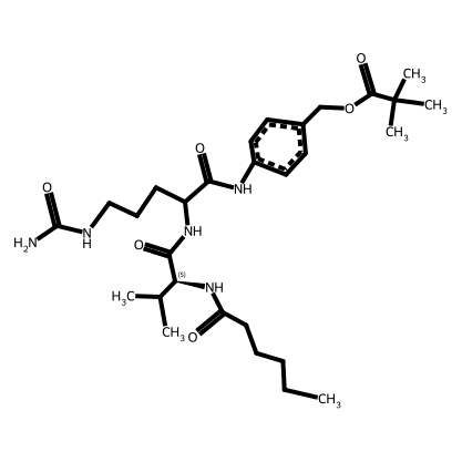 CCCCCC(=O)N[C@H](C(=O)NC(CCCNC(N)=O)C(=O)Nc1ccc(COC(=O)C(C)(C)C)cc1)C(C)C